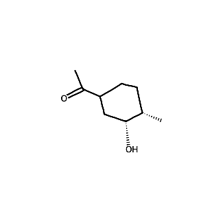 CC(=O)C1CC[C@H](C)[C@H](O)C1